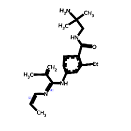 C=C(C)/C(=N\C=C/C)Nc1ccc(C(=O)NCC(C)(C)N)c(CC)c1